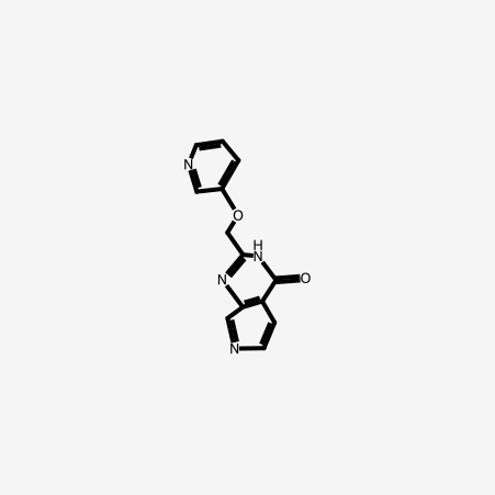 O=c1[nH]c(COc2cccnc2)nc2cnccc12